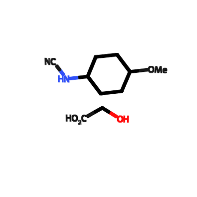 COC1CCC(NC#N)CC1.O=C(O)CO